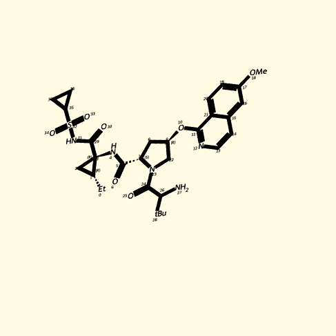 CC[C@@H]1C[C@]1(NC(=O)[C@@H]1C[C@@H](Oc2nccc3cc(OC)ccc23)CN1C(=O)C(N)C(C)(C)C)C(=O)NS(=O)(=O)C1CC1